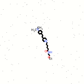 CCOCCNC(=O)CCCCC[n+]1ccc(C=Cc2ccc(N(C)C)cc2)cc1